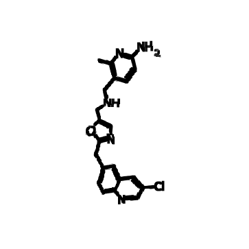 Cc1nc(N)ccc1CNCc1cnc(Cc2ccc3ncc(Cl)cc3c2)o1